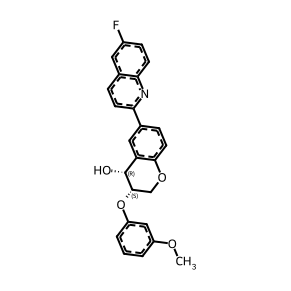 COc1cccc(O[C@H]2COc3ccc(-c4ccc5cc(F)ccc5n4)cc3[C@H]2O)c1